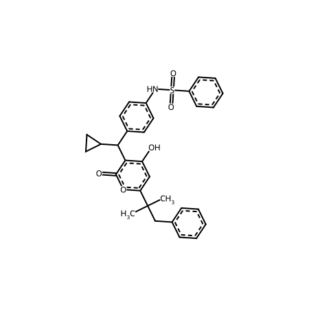 CC(C)(Cc1ccccc1)c1cc(O)c(C(c2ccc(NS(=O)(=O)c3ccccc3)cc2)C2CC2)c(=O)o1